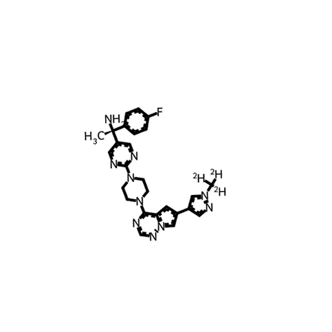 [2H]C([2H])([2H])n1cc(-c2cc3c(N4CCN(c5ncc([C@](C)(N)c6ccc(F)cc6)cn5)CC4)ncnn3c2)cn1